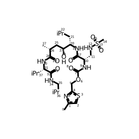 Cc1csc(COC(=O)N[C@@H](CNS(C)(=O)=O)C(=O)N[C@@H](CC(C)C)[C@@H](O)C[C@@H](C)C(=O)N[C@H](C(=O)NCC(C)C)C(C)C)n1